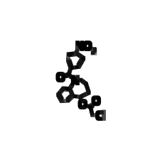 O=C(CCl)OC1CCCN(C(=O)c2ccc([N+](=O)[O-])cc2)c2ccccc21